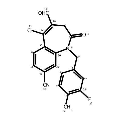 Cc1ccc(CN2C(=O)CC(C=O)=C(Cl)c3ccc(C#N)cc32)cc1F